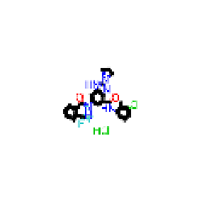 Cc1c(Cl)cccc1NC(=O)c1cc(NC(=O)c2ccccc2C(F)(F)F)cc2[nH]c(N3CCC3)nc12.Cl